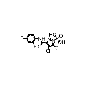 O=C(Nc1ccc(F)cc1F)c1nn(P(=O)(O)O)c(Cl)c1Cl